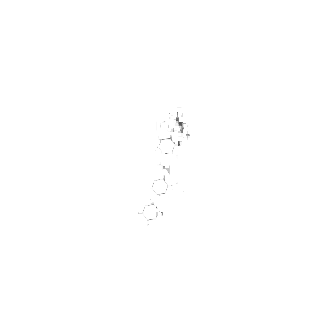 CCCc1cc(-c2ccccn2)ccc1NCc1ccc(C(O)(C(F)(F)F)C(F)(F)F)cc1